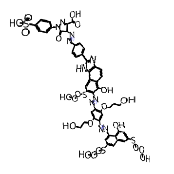 O=C(O)C1=NN(c2ccc(S(=O)(=O)O)cc2)C(=O)C1/N=N/c1ccc(-c2nc3ccc4c(O)c(/N=N/c5cc(OCCO)c(/N=N/c6cc(SOOO)cc7cc(SOOO)cc(O)c67)cc5OCCCO)c(SOOO)cc4c3[nH]2)cc1